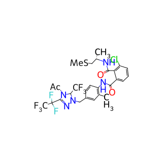 CSC[C@H](C)NC(=O)c1c(Cl)cccc1C(=O)Nc1ccc(CN2N=C(C(F)(F)C(F)(F)F)N(C(C)=O)C2C(F)(F)F)cc1C